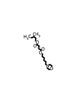 CCC(C)CCOC(=O)/C=C/C(=O)OCCCCCCN1CCOCC1